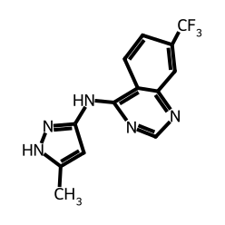 Cc1cc(Nc2ncnc3cc(C(F)(F)F)ccc23)n[nH]1